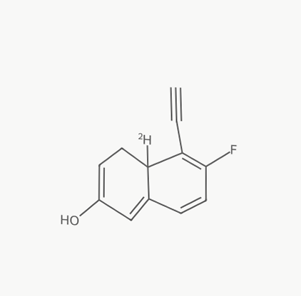 [2H]C12CC=C(O)C=C1C=CC(F)=C2C#C